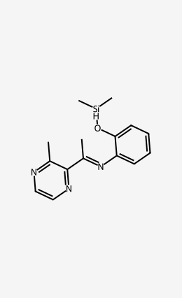 CC(=Nc1ccccc1O[SiH](C)C)c1nccnc1C